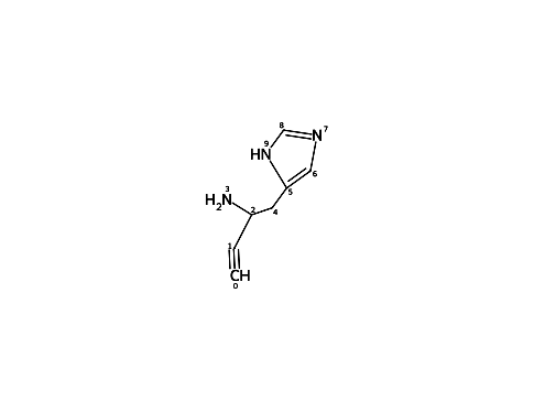 C#CC(N)Cc1cnc[nH]1